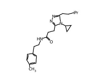 Cc1ccc(CCNC(=O)CCc2nnc(CCC(C)C)n2C2CC2)cc1